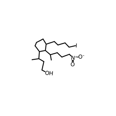 CC(CCO)C1CCCC(CCCCI)C1C(C)CCC[N+](=O)[O-]